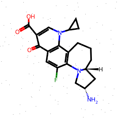 N[C@H]1C[C@H]2CCCc3c(c(F)cc4c(=O)c(C(=O)O)cn(C5CC5)c34)N2C1